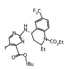 CCOC(=O)N1c2ccc(C(F)(F)F)cc2[C@@H](Nc2ncc(I)c(C(=O)OC(C)(C)C)n2)C[C@H]1CC